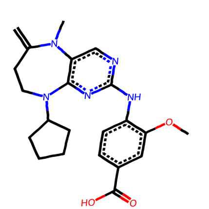 C=C1CCN(C2CCCC2)c2nc(Nc3ccc(C(=O)O)cc3OC)ncc2N1C